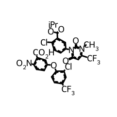 CC(C)OC(=O)c1cc(-n2c(=O)cc(C(F)(F)F)n(C)c2=O)ccc1Cl.O=C(O)c1cc(Oc2ccc(C(F)(F)F)cc2Cl)ccc1[N+](=O)[O-]